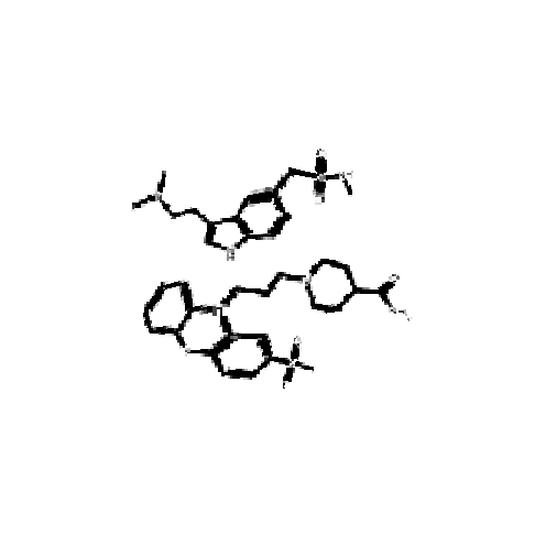 CNS(=O)(=O)Cc1ccc2[nH]cc(CCN(C)C)c2c1.CS(=O)(=O)c1ccc2c(c1)N(CCCN1CCC(C(N)=O)CC1)c1ccccc1S2